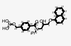 CC(C)N(CC(O)COc1cccc2ccccc12)C(=O)c1ccc(CON(O)O)cc1